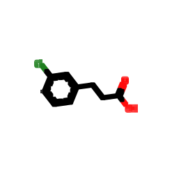 O=C(O)CCc1cc[c]c(Cl)c1